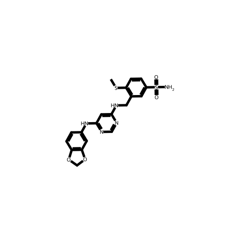 CSc1ccc(S(N)(=O)=O)cc1CNc1cc(Nc2ccc3c(c2)OCO3)ncn1